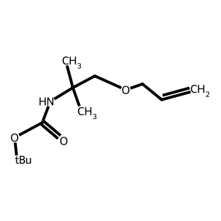 C=CCOCC(C)(C)NC(=O)OC(C)(C)C